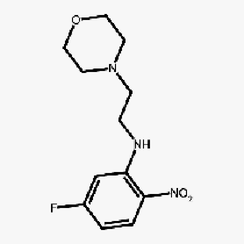 O=[N+]([O-])c1ccc(F)cc1NCCN1CCOCC1